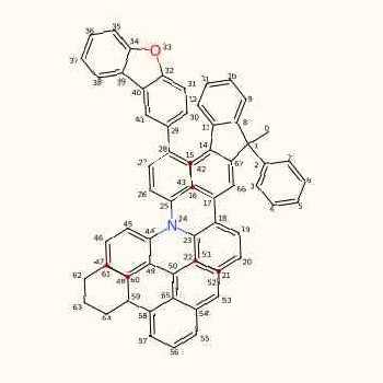 CC1(c2ccccc2)c2ccccc2-c2ccc(-c3ccccc3N(c3ccc(-c4ccc5oc6ccccc6c5c4)cc3)c3ccccc3-c3cccc4cccc(C5CCCCC5)c34)cc21